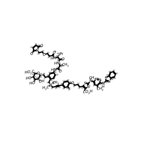 Cc1cc(N(C)c2nc(C(=O)O)c(CCCOc3ccc(C#CC[N+](C)(C)Cc4ccc(NC(=O)[C@H](C)NC(=O)[C@@H](NC(=O)CCOCCN5C(=O)C=CC5=O)C(C)C)cc4CC[C@@H]4O[C@H](C(=O)O)[C@@H](O)[C@H](O)[C@H]4O)cc3F)s2)nnc1Nc1nc2ccccc2s1